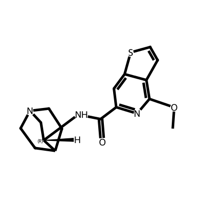 COc1nc(C(=O)N[C@H]2CN3CCC2CC3)cc2sccc12